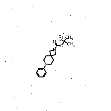 CC(C)(C)OC(=O)N1CC2(CCN(c3ccccc3)CC2)C1